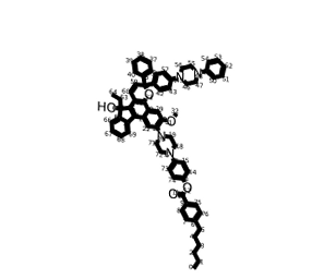 CCCCCCc1ccc(C(=O)Oc2ccc(N3CCN(c4cc5c6c(c7c(c5cc4OC)OC(c4ccccc4)(c4ccc(N5CCN(c8ccccc8)CC5)cc4)C=C7)C(O)(CC)c4ccccc4-6)CC3)cc2)cc1